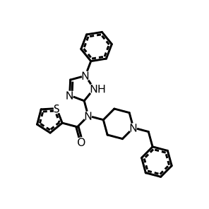 O=C(c1cccs1)N(C1CCN(Cc2ccccc2)CC1)C1N=CN(c2ccccc2)N1